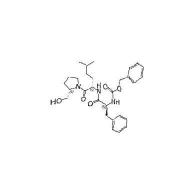 CC(C)CC[C@H](NC(=O)[C@H](Cc1ccccc1)NC(=O)OCc1ccccc1)C(=O)N1CCC[C@H]1CO